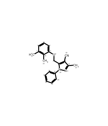 Cc1cccc(OCc2c(C#N)c(C)nn2-c2ccccc2)c1C